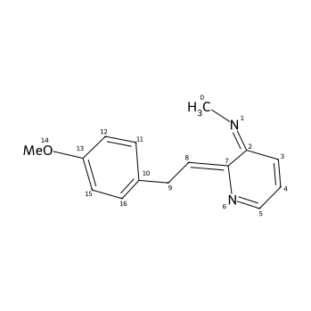 C/N=C1/C=CC=NC1=CCc1ccc(OC)cc1